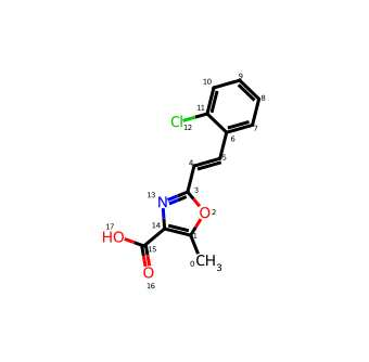 Cc1oc(C=Cc2ccccc2Cl)nc1C(=O)O